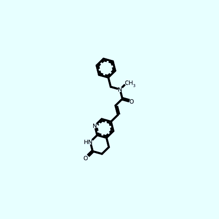 CN(Cc1ccccc1)C(=O)/C=C/c1cnc2c(c1)CCC(=O)N2